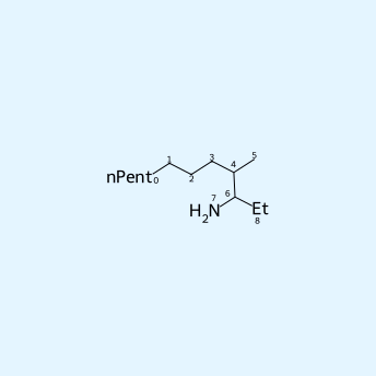 CCCCCCCCC(C)C(N)CC